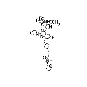 COc1ncc(-c2nc(N3CCOCC3)nc3c(CN4CCC(CCCC(=O)NOC5CCCCO5)CC4)cc(F)cc23)cc1NS(=O)(=O)C(F)(F)F